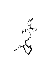 COC(=O)NOCc1ccccc1OC